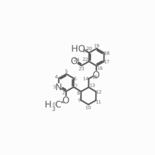 COc1ncccc1C1CCCCC1COc1cccc(O)c1C=O